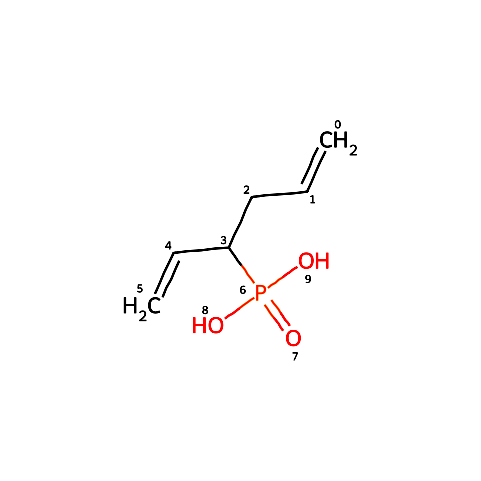 C=CCC(C=C)P(=O)(O)O